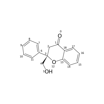 O=C1C[C@@](CO)(c2ccccc2)Oc2ccccc21